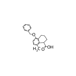 Cc1ccc(OCc2ccccc2)c2c1C(C(=O)O)CCC2